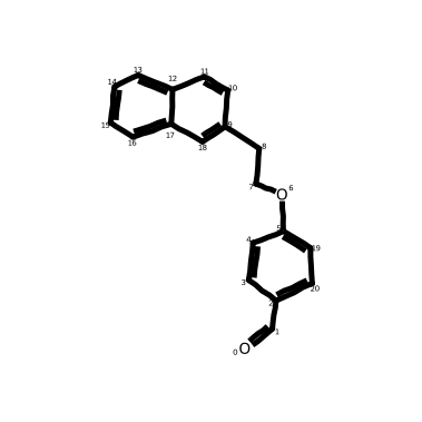 O=Cc1ccc(OCCc2ccc3ccccc3c2)cc1